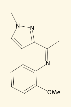 COc1ccccc1N=C(C)c1ccn(C)n1